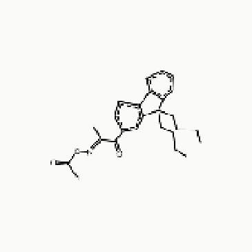 CCCCC1(CCCC)c2ccccc2-c2ccc(C(=O)/C(I)=N/OC(=O)I)cc21